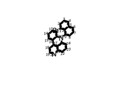 Brc1cccc2cccc(N3c4ccccc4-c4ccnc5cccc3c45)c12